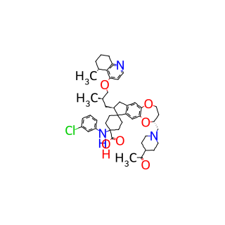 CC(=O)C1CCN(C[C@H]2CCOc3cc4c(cc3O2)C2(CCC(Nc3cccc(Cl)c3)(C(=O)O)CC2)[C@@H](C[C@@H](C)COc2ccnc3c2[C@H](C)CCC3)C4)CC1